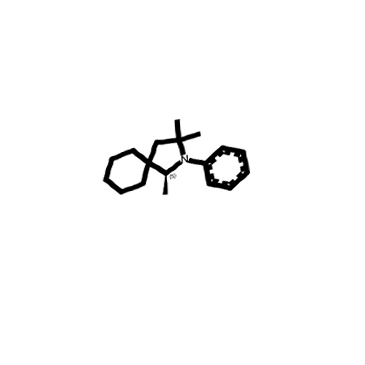 C[C@@H]1N(c2ccccc2)C(C)(C)CC12CCCCC2